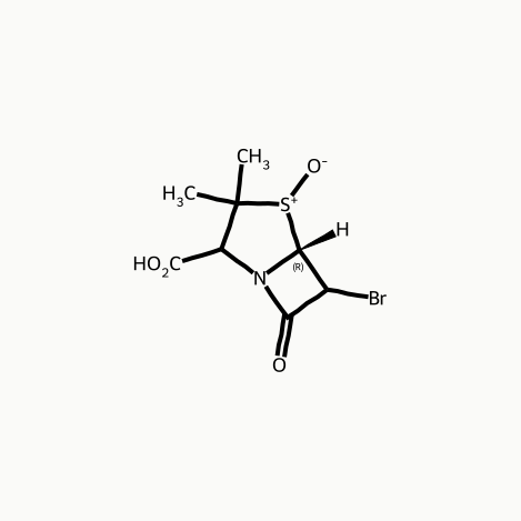 CC1(C)C(C(=O)O)N2C(=O)C(Br)[C@H]2[S+]1[O-]